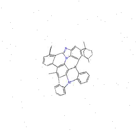 Cc1cccc2c1c1nc3cc4c(c5c3n1c1c3c6c(c(C)c21)c1ccccc1n6-c1ccccc1B53)C1(C)CCC4(C)CC1